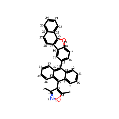 Cc1noc(C)c1-c1c2ccccc2c(-c2ccc3oc4c5ccccc5ccc4c3c2)c2ccccc12